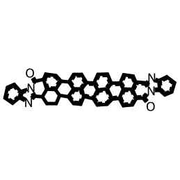 O=C1c2ccc3c4c2C(CCC4c2ccc4c5ccc6c7ccc8c(=O)n9c%10ccccc%10nc9c9ccc(c%10ccc(c%11ccc-3c2c4%11)c5c6%10)c7c89)c2nc3ccccc3n21